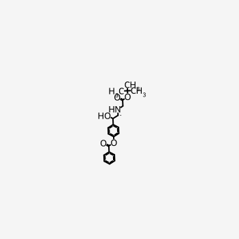 CC(C)(C)OC(=O)CN[CH]C(O)c1ccc(OC(=O)c2ccccc2)cc1